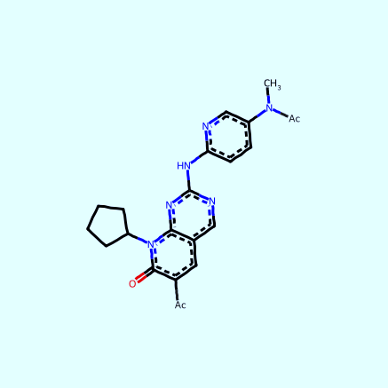 CC(=O)c1cc2cnc(Nc3ccc(N(C)C(C)=O)cn3)nc2n(C2CCCC2)c1=O